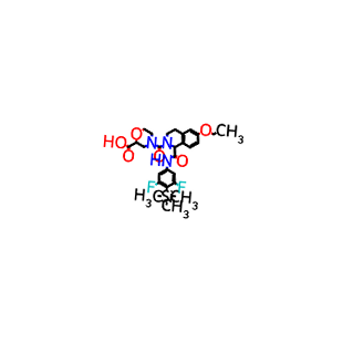 CCOc1ccc2c(c1)CCN(C(=O)N1CCOC(C(=O)O)C1)C2C(=O)Nc1cc(F)c([Si](C)(C)C)c(F)c1